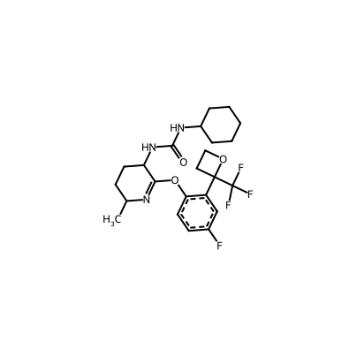 CC1CCC(NC(=O)NC2CCCCC2)C(Oc2ccc(F)cc2C2(C(F)(F)F)CCO2)=N1